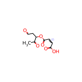 CC(=O)C(CC=O)OC(=O)/C=C\C(=O)O